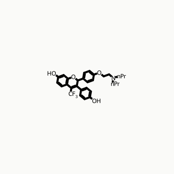 CCCN(CCC)CCOc1ccc(C2Oc3cc(O)ccc3C(C(F)(F)F)=C2c2ccc(O)cc2)cc1